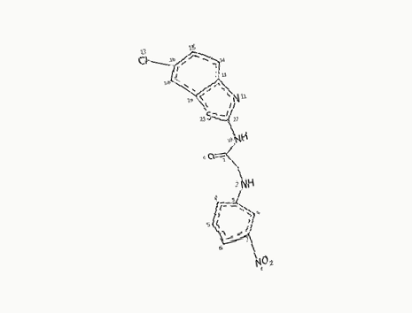 O=C(Nc1cccc([N+](=O)[O-])c1)Nc1nc2ccc(Cl)cc2s1